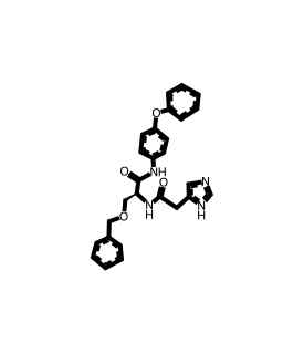 O=C(Cc1cnc[nH]1)N[C@@H](COCc1ccccc1)C(=O)Nc1ccc(Oc2ccccc2)cc1